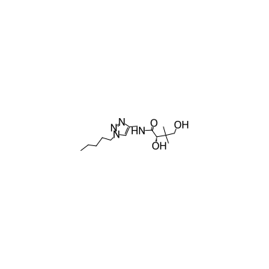 CCCCCn1cc(CNC(=O)[C@H](O)C(C)(C)CO)nn1